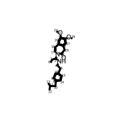 CCC(NCCc1ccc(CC(C)C)cc1)N1C=Cc2cc(OC)c(OC)cc2CC1=O